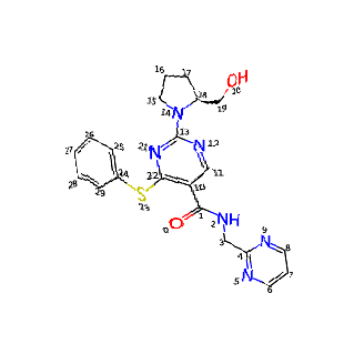 O=C(NCc1ncccn1)c1cnc(N2CCC[C@H]2CO)nc1Sc1ccccc1